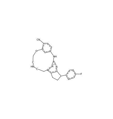 [C-]#[N+]c1ccc2cc1OCCNCCc1nc(nc3c1CCC3c1ccc(F)cc1)N2